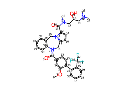 COc1cc(C(=O)N2Cc3ccc(C(=O)N(C)CC(O)CN(C)C)n3Cc3ccccc32)ccc1-c1ccccc1C(F)(F)F